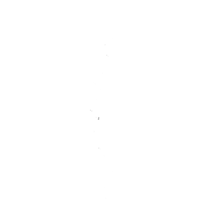 O=C(NCc1ccc(S(=O)(=O)NNC(=O)c2csc(-c3ccc(C(F)(F)F)cc3Cl)n2)s1)c1ccc(Cl)cc1